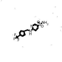 NS(=O)(=O)c1ccc(NCc2ccc(C(F)(F)F)cc2)nc1